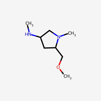 CNC1CC(COC)N(C)C1